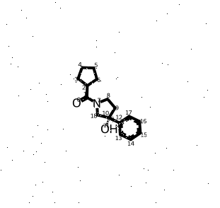 O=C(C1CCCC1)N1CC[C@@](O)(c2ccccc2)C1